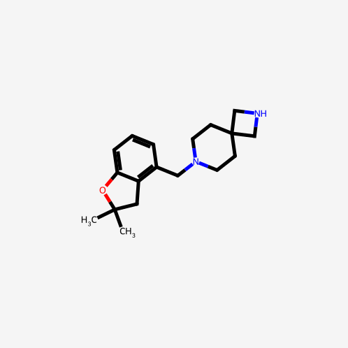 CC1(C)Cc2c(CN3CCC4(CC3)CNC4)cccc2O1